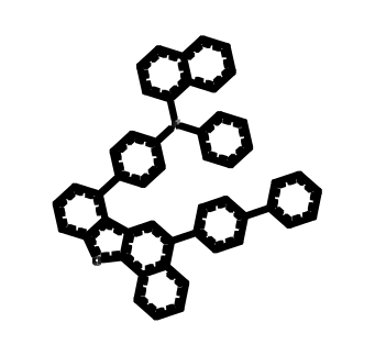 c1ccc(-c2ccc(-c3cc4c(oc5cccc(-c6ccc(N(c7ccccc7)c7cccc8ccccc78)cc6)c54)c4ccccc34)cc2)cc1